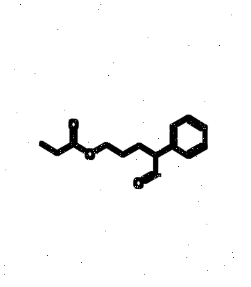 CCC(=O)OCCCC([C]=O)c1ccccc1